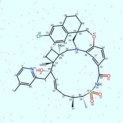 Cc1ccnc(C[C@]2(O)/C=C/C[C@H](C)[C@@H](C)S(=O)(=O)NC(=O)c3ccc4c(c3)N(C[C@@H]3CC[C@H]32)C[C@@]2(CCCc3cc(Cl)ccc32)CO4)c1